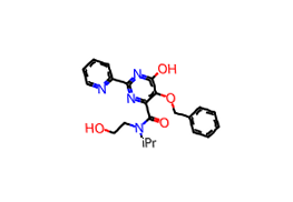 CC(C)N(CCO)C(=O)c1nc(-c2ccccn2)nc(O)c1OCc1ccccc1